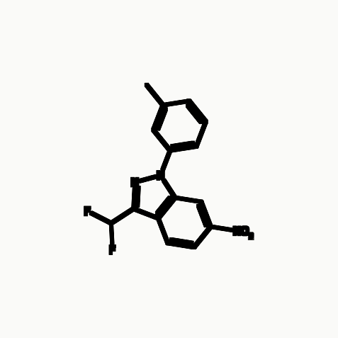 Cc1cccc(-n2nc(C(F)F)c3ccc([N+](=O)[O-])cc32)c1